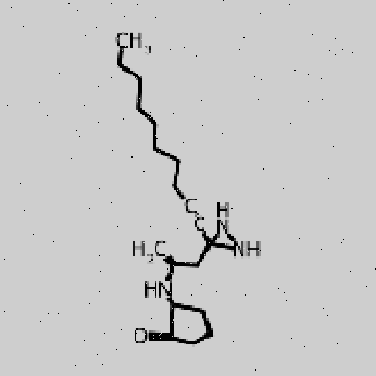 C=C(CC1(CCCCCCCCCC)NN1)NC1CCCC1=O